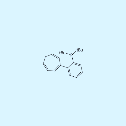 CC(C)(C)P(c1ccccc1C1=CC=CCC=C1)C(C)(C)C